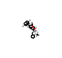 N#Cc1cnc(NCc2ccccc2OC(F)(F)F)nc1NC[C@]12CC3C[C@H](C1)[C@@H](NC1CCN(C(N)=O)CC1)[C@@H](C3)C2